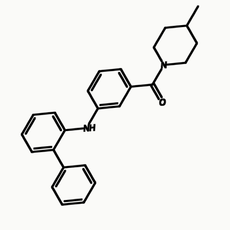 CC1CCN(C(=O)c2cccc(Nc3ccccc3-c3ccccc3)c2)CC1